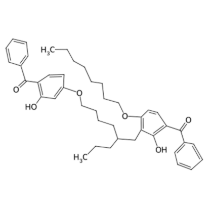 CCCCCCCCOc1ccc(C(=O)c2ccccc2)c(O)c1CC(CCC)CCCCOc1ccc(C(=O)c2ccccc2)c(O)c1